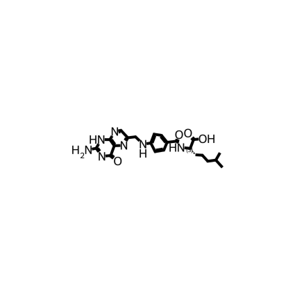 CC(C)CCC[C@H](NC(=O)c1ccc(NCc2cnc3[nH]c(N)nc(=O)c3n2)cc1)C(=O)O